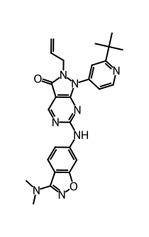 C=CCn1c(=O)c2cnc(Nc3ccc4c(N(C)C)noc4c3)nc2n1-c1ccnc(C(C)(C)C)c1